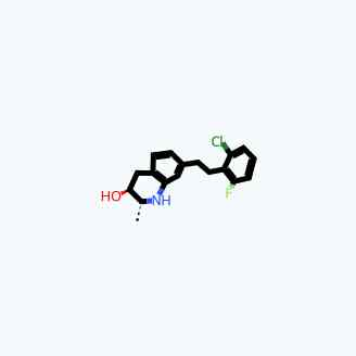 C[C@H]1Nc2cc(CCc3c(F)cccc3Cl)ccc2C[C@@H]1O